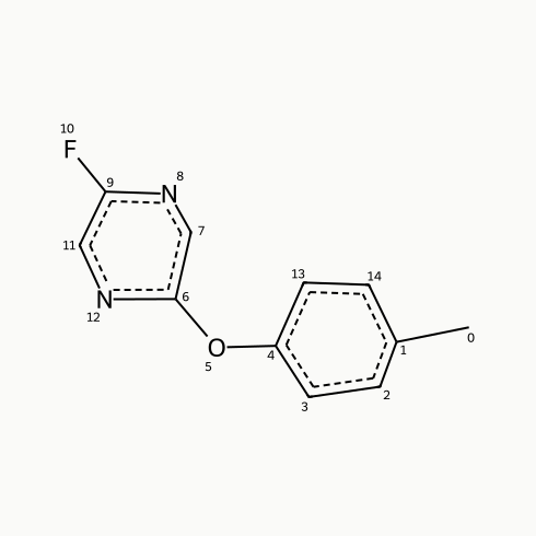 Cc1ccc(Oc2cnc(F)cn2)cc1